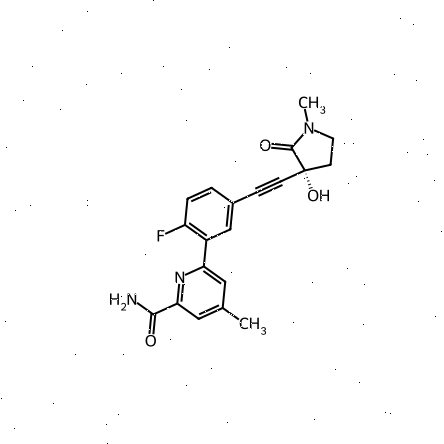 Cc1cc(C(N)=O)nc(-c2cc(C#C[C@]3(O)CCN(C)C3=O)ccc2F)c1